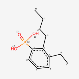 CCCCc1c(CC)cccc1P(=O)(O)O